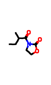 CCC(C)C(=O)N1CCOC1=O